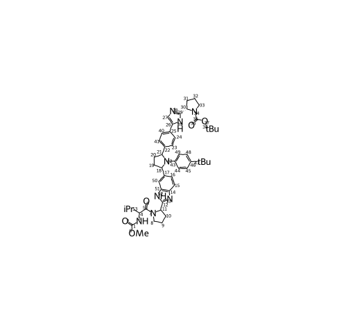 COC(=O)NC(C(=O)N1CCCC1c1nc2ccc(C3CCC(c4ccc(-c5cnc([C@@H]6CCCN6C(=O)OC(C)(C)C)[nH]5)cc4)N3c3ccc(C(C)(C)C)cc3)cc2[nH]1)C(C)C